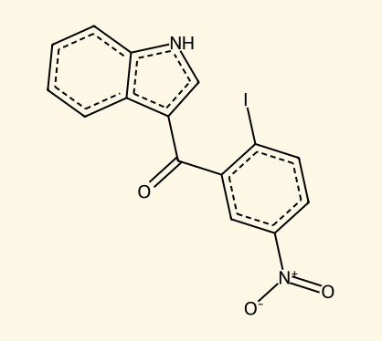 O=C(c1cc([N+](=O)[O-])ccc1I)c1c[nH]c2ccccc12